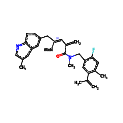 C=C(/C=C(/Cc1ccc2ncc(C)cc2c1)NC)C(=O)N(C)Cc1cc(C(=C)C)c(C)cc1F